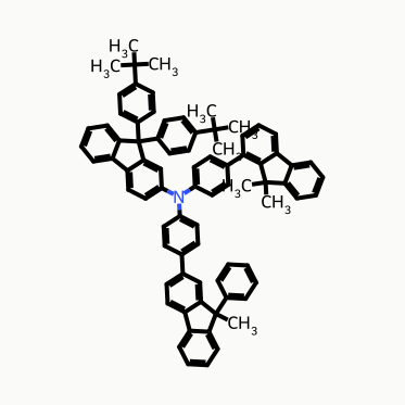 CC(C)(C)c1ccc(C2(c3ccc(C(C)(C)C)cc3)c3ccccc3-c3ccc(N(c4ccc(-c5ccc6c(c5)C(C)(c5ccccc5)c5ccccc5-6)cc4)c4ccc(-c5cccc6c5C(C)(C)c5ccccc5-6)cc4)cc32)cc1